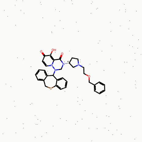 O=C1c2c(O)c(=O)ccn2N(C2c3ccccc3CSc3ccccc32)CN1[C@@H]1CCN(CCOCc2ccccc2)C1